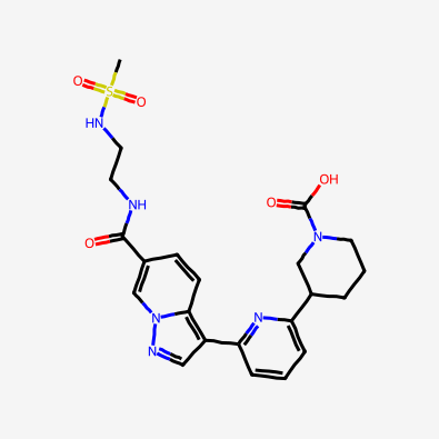 CS(=O)(=O)NCCNC(=O)c1ccc2c(-c3cccc(C4CCCN(C(=O)O)C4)n3)cnn2c1